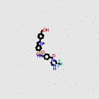 Cn1c(-c2ccc(CO)cc2)cc2ccc(S(=O)(=O)NC3CCC(C(=O)N4CCN[C@@H](C(F)(F)F)C4)CC3)cc21